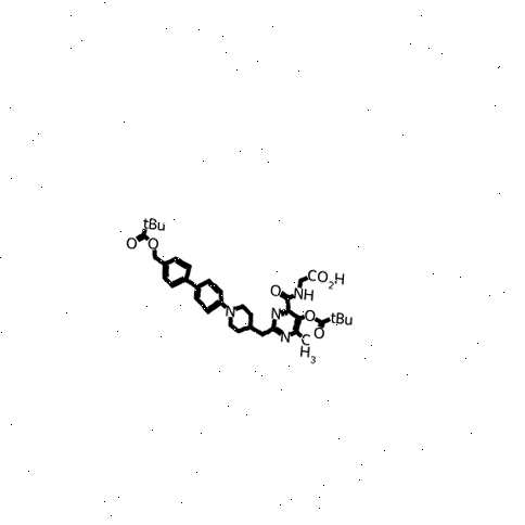 Cc1nc(CC2CCN(c3ccc(-c4ccc(COC(=O)C(C)(C)C)cc4)cc3)CC2)nc(C(=O)NCC(=O)O)c1OC(=O)C(C)(C)C